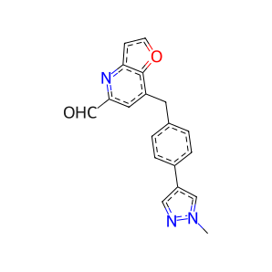 Cn1cc(-c2ccc(Cc3cc(C=O)nc4ccoc34)cc2)cn1